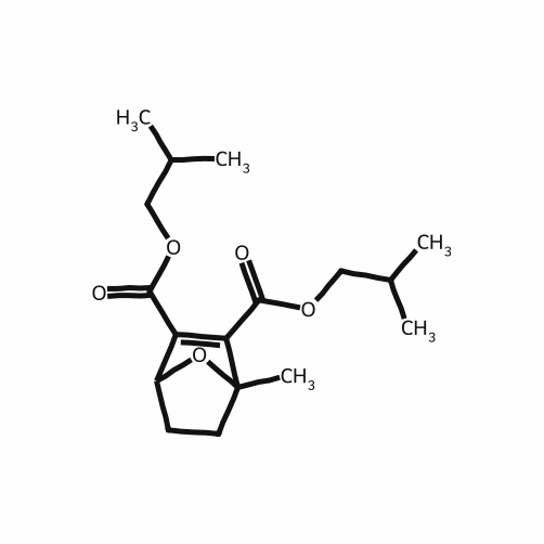 CC(C)COC(=O)C1=C(C(=O)OCC(C)C)C2(C)CCC1O2